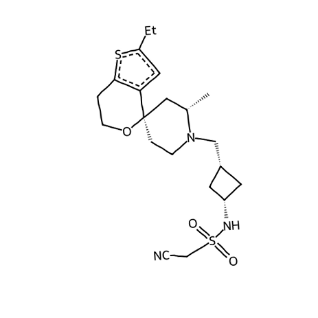 CCc1cc2c(s1)CCO[C@@]21CCN(C[C@H]2C[C@@H](NS(=O)(=O)CC#N)C2)[C@@H](C)C1